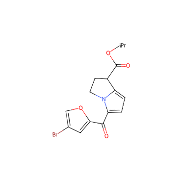 CC(C)OC(=O)C1CCn2c(C(=O)c3cc(Br)co3)ccc21